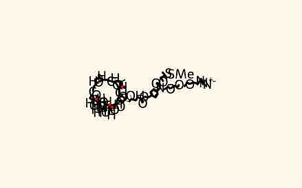 C=C1C[C@@H]2CC[C@@]34C[C@H]5O[C@H]6[C@@H](O3)[C@H]3O[C@H](CC[C@@H]3O[C@H]6[C@H]5O4)CC(=O)C[C@@H]3[C@@H](OC)[C@@H](C[C@H](O)CCC(=O)OCc4ccc(N(CCOCCOCCOCCN=[N+]=[N-])C(=O)OCC(C)(C)SSC)cc4)O[C@H]3C[C@H]3O[C@@H](CC[C@@H]1O2)C[C@@H](C)C3=C